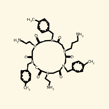 Cc1ccc(CN2CC(=O)N(CCN)CC(=O)N(Cc3ccc(C)cc3)CC(=O)N(CCN)CC(=O)N(Cc3ccc(C)cc3)CC(=O)N(CCCN)CC2=O)cc1